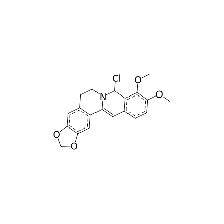 COc1ccc2c(c1OC)C(Cl)N1CCc3cc4c(cc3C1=C2)OCO4